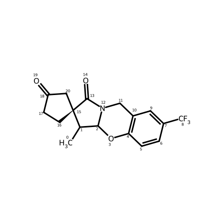 CC1C2Oc3ccc(C(F)(F)F)cc3CN2C(=O)[C@]12CCC(=O)C2